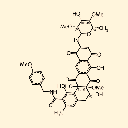 COc1ccc(CNC(=O)c2c(C)cc3c(c2O)[C@]2(O)C(=O)c4cc5c(c(O)c4C(=O)[C@]2(OC)[C@H](O)C3)C(=O)C=C(NC2O[C@@H](C)[C@H](OC)[C@@H](O)[C@H]2OC)C5=O)cc1